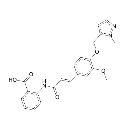 COc1cc(/C=C/C(=O)Nc2ccccc2C(=O)O)ccc1OCc1ccnn1C